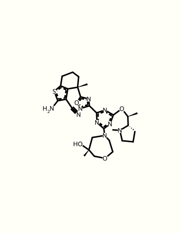 C[C@H](Oc1nc(-c2noc([C@@]3(C)CCCc4sc(N)c(C#N)c43)n2)nc(N2CCOC[C@](C)(O)C2)n1)[C@@H]1CCCN1C